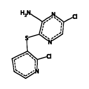 Nc1nc(Cl)cnc1Sc1cccnc1Cl